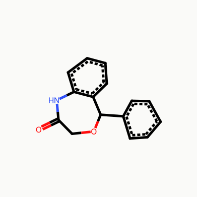 O=C1COC(c2ccccc2)c2ccccc2N1